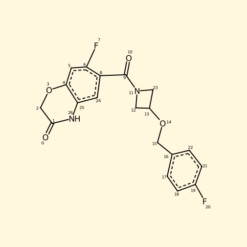 O=C1COc2cc(F)c(C(=O)N3CC(OCc4ccc(F)cc4)C3)cc2N1